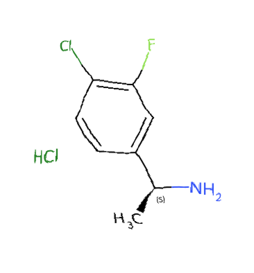 C[C@H](N)c1ccc(Cl)c(F)c1.Cl